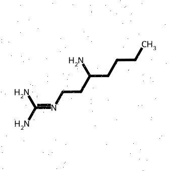 CCCCC(N)CCN=C(N)N